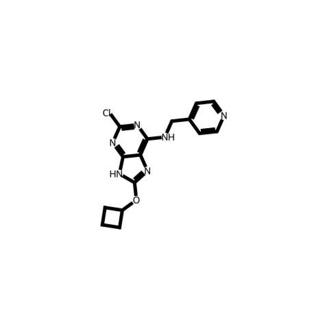 Clc1nc(NCc2ccncc2)c2nc(OC3CCC3)[nH]c2n1